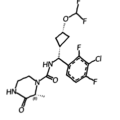 C[C@@H]1C(=O)NCCN1C(=O)NC(c1ccc(F)c(Cl)c1F)[C@H]1C[C@@H](OC(F)F)C1